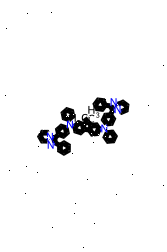 CC1(C)c2cc(N(c3ccccc3)c3ccc(-c4c(-c5ccccc5)nc5ccccn45)cc3)ccc2-c2ccc(N(c3ccccc3)c3ccc(-c4c(-c5ccccc5)nc5ccccn45)cc3)cc21